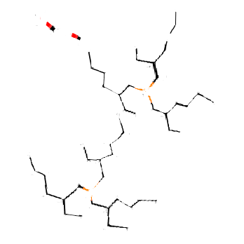 CCCCC(CC)CP(CC(CC)CCCC)CC(CC)CCCC.CCCCC(CC)CP(CC(CC)CCCC)CC(CC)CCCC.[C]=O.[C]=O.[Ni]